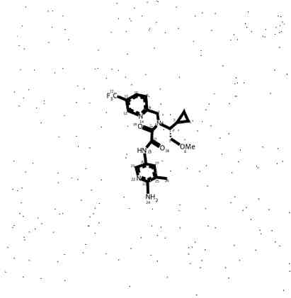 COC[C@@H](C1CC1)N(Cc1ccc(C(F)(F)F)cn1)C(=O)C(=O)Nc1cnc(N)c(C)c1